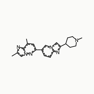 Cc1cn2nc(-c3ccc4nc(C5CCN(C)CC5)cn4c3)cc(C)c2n1